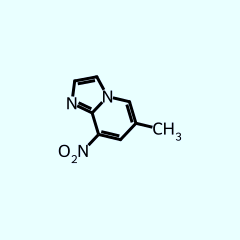 Cc1cc([N+](=O)[O-])c2nccn2c1